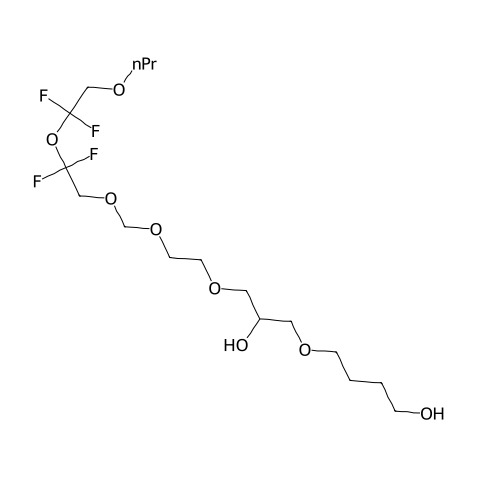 CCCOCC(F)(F)OC(F)(F)COCOCCOCC(O)COCCCCO